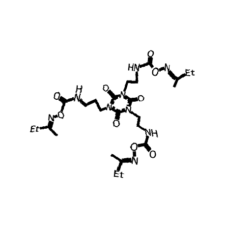 CC/C(C)=N/OC(=O)NCCCn1c(=O)n(CCNC(=O)O/N=C(\C)CC)c(=O)n(CCNC(=O)O/N=C(\C)CC)c1=O